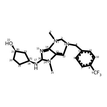 CN1CN(Cc2ccc(C(F)(F)F)cc2)C=C2C1=NC(N[C@H]1CC[C@@H](O)C1)N2C